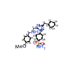 COc1ccc(CNCc2nc(Cc3ccccc3)nn2-c2ccc(S(N)(=O)=O)cc2)cc1